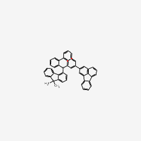 CC1(C)c2ccccc2-c2c(N(c3cccc(-c4cc5c6c(cccc6c4)-c4ccccc4-5)c3)c3ccccc3-c3ccccc3)cccc21